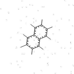 Cc1c(Cl)c(Cl)c(C)c2c(C)c(Cl)c(Cl)c(C)c12